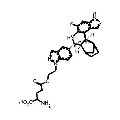 NC(CCC(=O)OCCn1ncc2cc([C@@H]3Nc4c(F)cc5[nH]ncc5c4[C@H]4C5CCC(C5)[C@@H]34)ccc21)C(=O)O